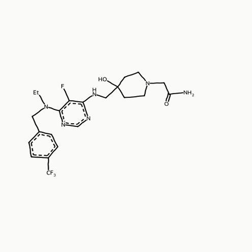 CCN(Cc1ccc(C(F)(F)F)cc1)c1ncnc(NCC2(O)CCN(CC(N)=O)CC2)c1F